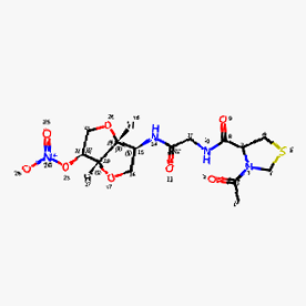 CC(=O)N1CSCC1C(=O)NCC(=O)N[C@H]1CO[C@H]2[C@@H]1OC[C@@H]2O[N+](=O)[O-]